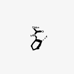 COC(=O)N[C@@H]1CCC[C@H]1I